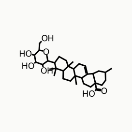 CC1CCC2(C(=O)O)CCC3C(=CCC4C3(C)CCC3C(C)(C)C(C5OC(CO)C(O)C(O)C5O)CCC34C)C2C1